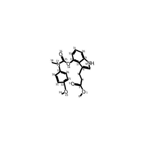 COC(=O)CCc1c[nH]c2cccc(OC(=O)N(C)c3ccc(OC)cc3)c12